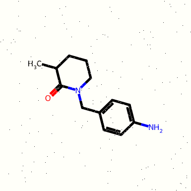 CC1CCCN(Cc2ccc(N)cc2)C1=O